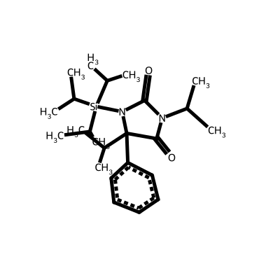 CC(C)N1C(=O)N([Si](C(C)C)(C(C)C)C(C)C)C(c2ccccc2)(C(C)C)C1=O